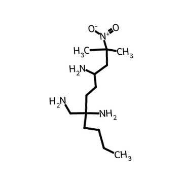 CCCCC(N)(CN)CCC(N)CC(C)(C)[N+](=O)[O-]